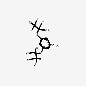 Cl.Cl.NC(F)(Oc1cccc(OC(N)(F)C(F)(F)F)c1)C(F)(F)F